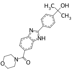 CC(C)(O)c1ccc(-c2nc3ccc(C(=O)N4CCOCC4)cc3[nH]2)cc1